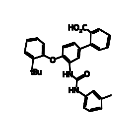 Cc1cccc(NC(=O)Nc2cc(-c3ccccc3C(=O)O)ccc2Oc2ccccc2C(C)(C)C)c1